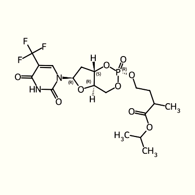 CC(C)OC(=O)C(C)CCO[P@]1(=O)OC[C@H]2O[C@@H](n3cc(C(F)(F)F)c(=O)[nH]c3=O)C[C@@H]2O1